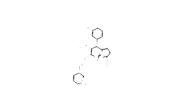 CCc1ccc2c(-c3cccc(Cl)c3)c(CCC(=O)O)c(COCc3cccnc3)nn12